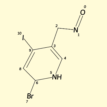 O=NCC1=CNC(Br)C=C1I